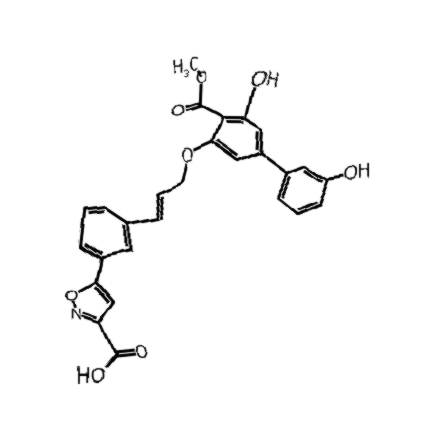 COC(=O)c1c(O)cc(-c2cccc(O)c2)cc1OCC=Cc1cccc(-c2cc(C(=O)O)no2)c1